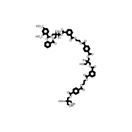 CCCCCCC(CO)(CO)COC(=O)c1ccc(C(=O)OCCOC(=O)c2cccc(C(=O)OCC(CC)(CO)COC(=O)c3ccc(C(=O)OCCOC(=O)c4cccc(C(=O)OC(CC)(CC)C(CC)(COC(=O)c5ccccc5)COC(=O)c5ccc(C(=O)O)cc5C(=O)O)c4)cc3)c2)cc1